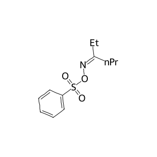 CCC/C(CC)=N\OS(=O)(=O)c1ccccc1